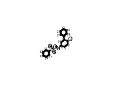 O=C1C=CC(=NOS(=O)(=O)c2ccccc2)C=C1c1ccccc1